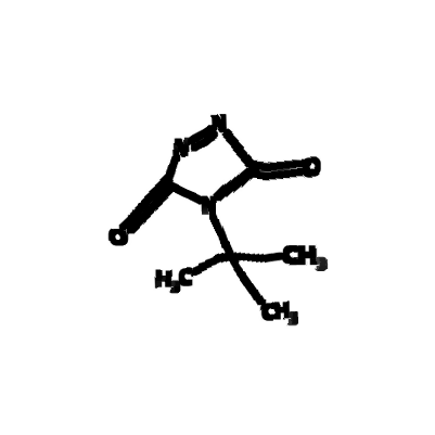 CC(C)(C)N1C(=O)N=NC1=O